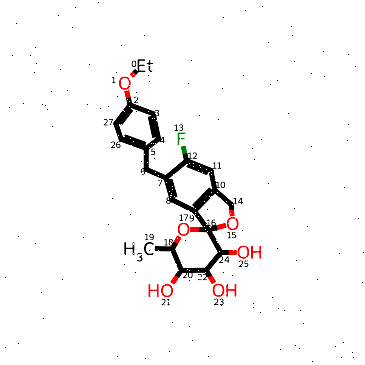 CCOc1ccc(Cc2cc3c(cc2F)COC32OC(C)C(O)C(O)C2O)cc1